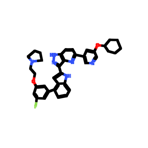 Fc1cc(OCCN2CCCC2)cc(-c2cccc3[nH]c(-c4n[nH]c5ccc(-c6cncc(OC7CCCCC7)c6)nc45)cc23)c1